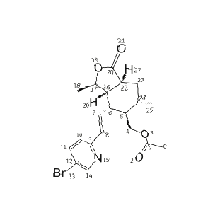 CC(=O)OC[C@H]1[C@H](/C=C/c2ccc(Br)cn2)[C@@H]2[C@@H](C)OC(=O)[C@@H]2C[C@@H]1C